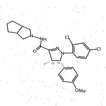 COc1ccc([C@@H]2[C@H](C)C(C(=O)NN3CC4CCCC4C3)=NN2c2ccc(Cl)cc2Cl)cc1